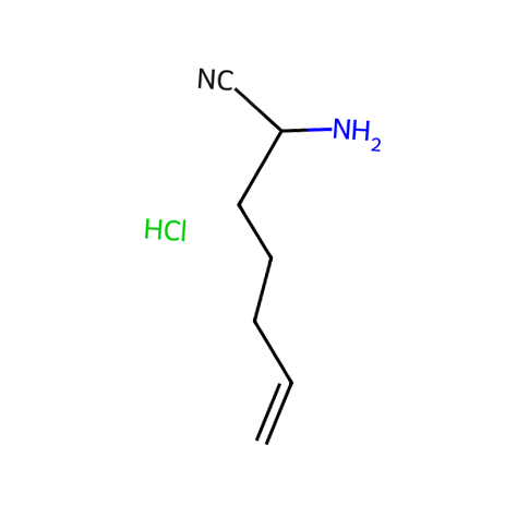 C=CCCCC(N)C#N.Cl